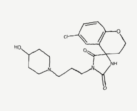 O=C1NC2(CCOc3ccc(Cl)cc32)C(=O)N1CCCN1CCC(O)CC1